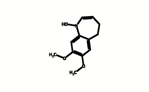 COc1cc2c(cc1OC)N(O)C=CCC2